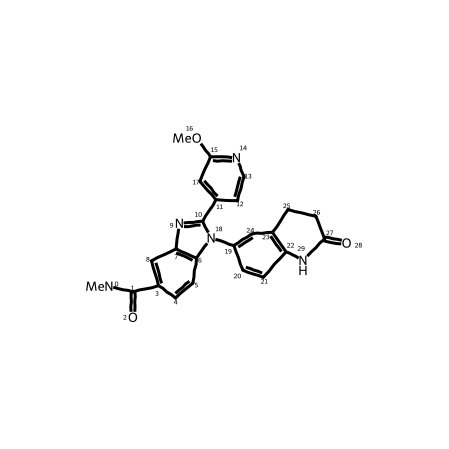 CNC(=O)c1ccc2c(c1)nc(-c1ccnc(OC)c1)n2-c1ccc2c(c1)CCC(=O)N2